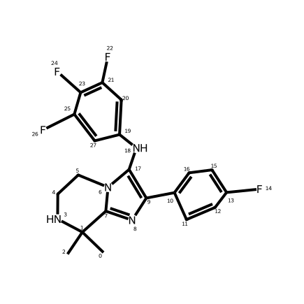 CC1(C)NCCn2c1nc(-c1ccc(F)cc1)c2Nc1cc(F)c(F)c(F)c1